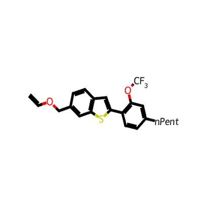 C=COCc1ccc2cc(-c3ccc(CCCCC)cc3OC(F)(F)F)sc2c1